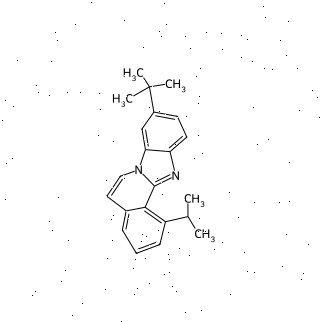 CC(C)c1cccc2ccn3c4cc(C(C)(C)C)ccc4nc3c12